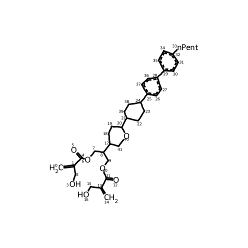 C=C(CO)C(=O)OCC(COC(=O)C(=C)CO)C1CCC(C2CCC(c3ccc(-c4ccc(CCCCC)cc4)cc3)CC2)OC1